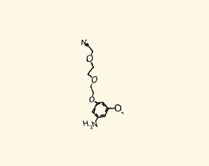 COc1cc(N)cc(OCCOCCOCC#N)c1